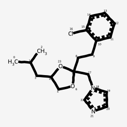 CC(C)CC1COC(CCc2ccccc2Cl)(Cn2ccnc2)O1